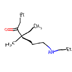 CCNCCC(C)(C)C(=O)C(C)C